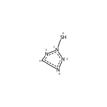 Sn1n[c]nn1